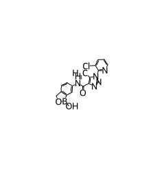 Cc1c(C(=O)Nc2ccc3c(c2)B(O)OC3)nnn1-c1ncccc1Cl